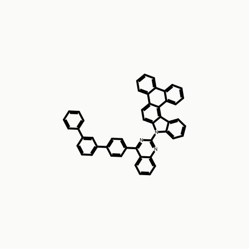 c1ccc(-c2cccc(-c3ccc(-c4nc(-n5c6ccccc6c6c7c8ccccc8c8ccccc8c7ccc65)nc5ccccc45)cc3)c2)cc1